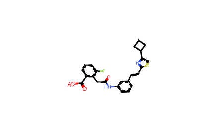 O=C(Cc1c(F)cccc1C(=O)O)Nc1cccc(C=Cc2nc(C3CCC3)cs2)c1